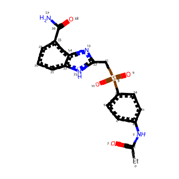 CCC(=O)Nc1ccc(S(=O)(=O)Cc2nc3c(C(N)=O)cccc3[nH]2)cc1